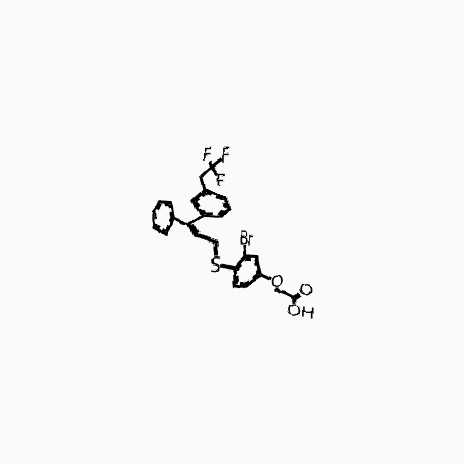 O=C(O)COc1ccc(SCC=C(c2ccccc2)c2cccc(CC(F)(F)F)c2)c(Br)c1